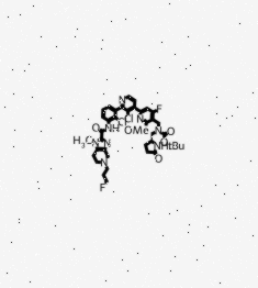 COc1nc(-c2ccnc(-c3cccc(NC(=O)c4nc5c(n4C)CCN(CCCF)C5)c3Cl)c2Cl)cc(F)c1CN(C[C@@H]1CCC(=O)N1)C(=O)OC(C)(C)C